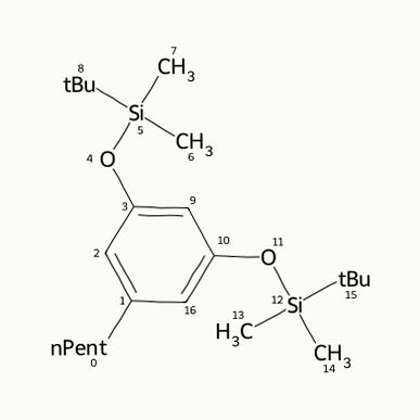 CCCCCc1cc(O[Si](C)(C)C(C)(C)C)cc(O[Si](C)(C)C(C)(C)C)c1